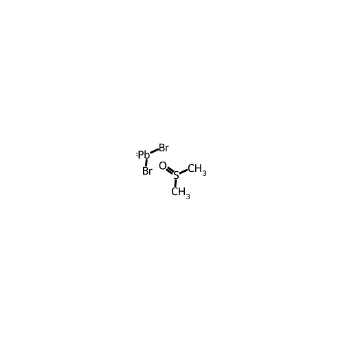 CS(C)=O.[Br][Pb][Br]